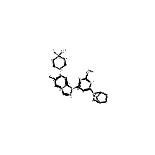 COc1nc(N2CC3CC2CO3)cc(-n2ncc3cc(C)c([C@H]4CC[C@@](C)(O)CC4)cc32)n1